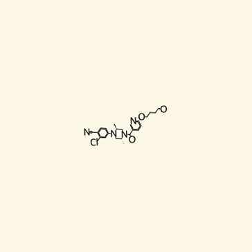 C[C@@H]1CN(c2ccc(C#N)c(Cl)c2)[C@@H](C)CN1C(=O)c1ccc(OCCCC=O)nc1